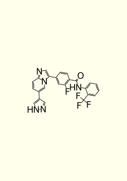 O=C(Nc1ccccc1C(F)(F)F)c1ccc(-c2cnc3ccc(-c4cn[nH]c4)cn23)cc1F